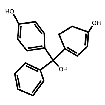 OC1=CC=C(C(O)(c2ccccc2)c2ccc(O)cc2)CC1